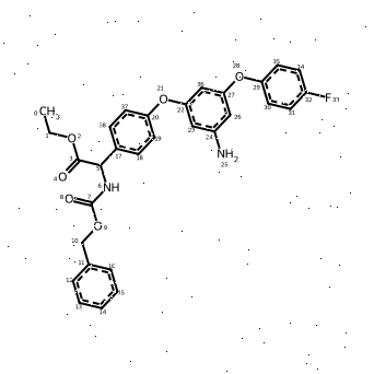 CCOC(=O)C(NC(=O)OCc1ccccc1)c1ccc(Oc2cc(N)cc(Oc3ccc(F)cc3)c2)cc1